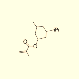 C=C(C)C(=O)OC1CC(C)CC(C(C)C)C1